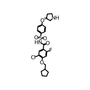 O=C(NS(=O)(=O)c1ccc(O[C@@H]2CCNC2)cc1)c1cc(Cl)c(OCC2CCCC2)cc1F